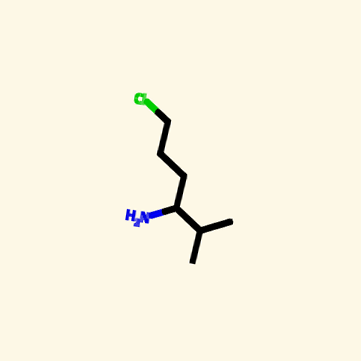 CC(C)C(N)CCCCl